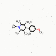 CCOC(=O)C1=C(C)N(C2CC2)C(C)=C(C(=O)OCC)C1c1ccc(OC(F)(F)F)cc1